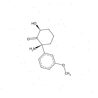 COc1cccc([C@@]2(N)CCC[C@H](O)C2=O)c1